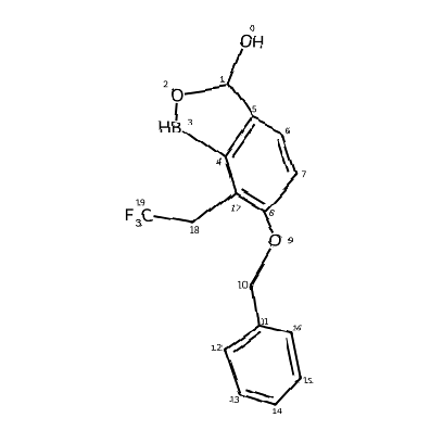 OC1OBc2c1ccc(OCc1ccccc1)c2CC(F)(F)F